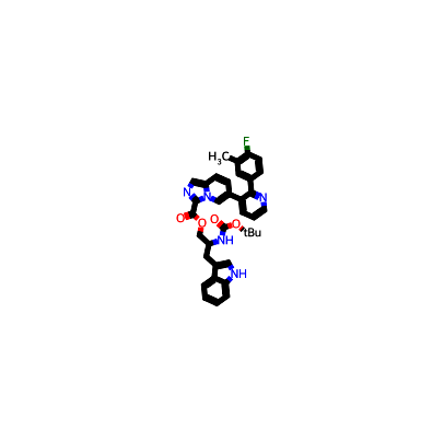 Cc1cc(-c2ncccc2-c2ccc3cnc(C(=O)OCC(Cc4c[nH]c5ccccc45)NC(=O)OC(C)(C)C)n3c2)ccc1F